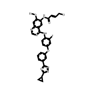 CCOc1cc2ncnc(Nc3ccc(Oc4cccc(-c5nnc(C6CC6)o5)c4)cc3F)c2cc1NC(=O)/C=C/CCl